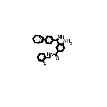 N=C(c1ccc(N2C3CCCC2CC3)cc1)c1cc(C(=O)NCc2ccccc2F)ccc1N